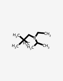 CCB(CC(C)(C)C)C(C)C